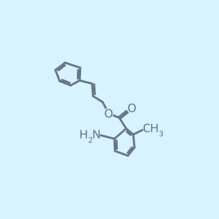 Cc1cccc(N)c1C(=O)OCC=Cc1ccccc1